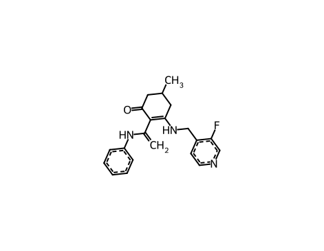 C=C(Nc1ccccc1)C1=C(NCc2ccncc2F)CC(C)CC1=O